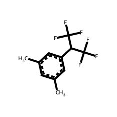 Cc1[c]c(C)cc(C(C(F)(F)F)C(F)(F)F)c1